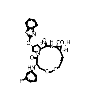 O=C1N[C@]2(C(=O)O)C[C@H]2/C=C\CCCCC[C@H](Nc2cccc(F)c2)C(=O)N2C[C@H](Oc3nc4ccccc4s3)C[C@@H]12